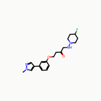 Cn1cc(-c2c[c]cc(OCCC(=O)CNN3CCC(F)CC3)c2)cn1